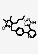 CCCCc1c(C)n(C)c(=O)n1Cc1ccc(-c2ncccc2-c2nnn[nH]2)cc1